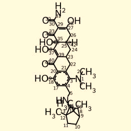 CN(C)c1c(CN[C@H]2CC3CCC2(C)C3(C)C)cc(O)c2c1CC1C[C@H]3CC(O)=C(C(N)=O)C(=O)[C@@]3(O)C(O)=C1C2=O